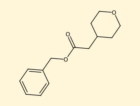 O=C(CC1CCOCC1)OCc1ccccc1